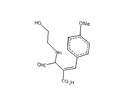 COc1ccc(C=C(C(=O)O)C(C=O)NCCO)cc1